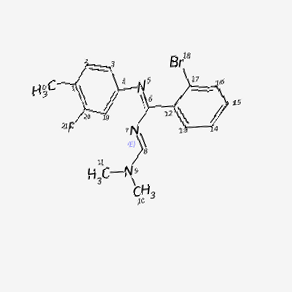 Cc1ccc(N=C(/N=C/N(C)C)c2ccccc2Br)cc1F